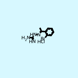 CC(=NNC(=N)N)c1ccccc1Br.Cl